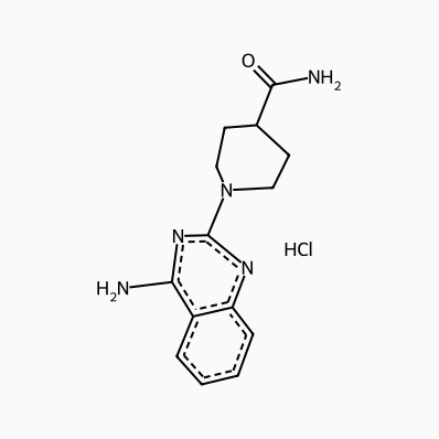 Cl.NC(=O)C1CCN(c2nc(N)c3ccccc3n2)CC1